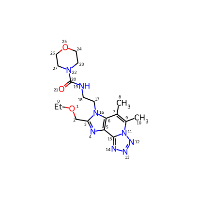 CCOCc1nc2c(c(C)c(C)n3nnnc23)n1CCNC(=O)N1CCOCC1